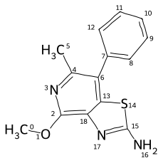 COc1nc(C)c(-c2ccccc2)c2sc(N)nc12